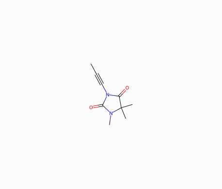 CC#CN1C(=O)N(C)C(C)(C)C1=O